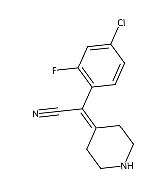 N#CC(=C1CCNCC1)c1ccc(Cl)cc1F